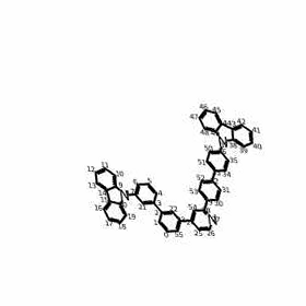 c1cc(-c2cccc(-n3c4ccccc4c4ccccc43)c2)cc(-c2ccnc(-c3ccc(-c4ccc(-n5c6ccccc6c6ccccc65)cc4)cc3)c2)c1